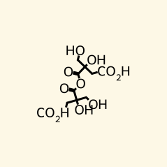 O=C(O)CC(O)(CO)C(=O)OC(=O)C(O)(CO)CC(=O)O